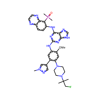 COc1cc(N2CCN(C(C)(C)CF)CC2)c(-c2cnn(C)c2)cc1Nc1nc(Nc2ccc3nccnc3c2P(C)(C)=O)c2nc[nH]c2n1